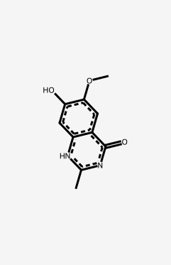 COc1cc2c(=O)nc(C)[nH]c2cc1O